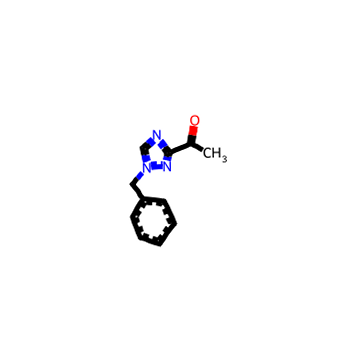 CC(=O)c1ncn(Cc2ccccc2)n1